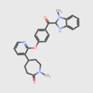 CN1CCC(c2cccnc2Oc2ccc(C(=O)C3Nc4ccccc4N3C)cc2)CCC1=O